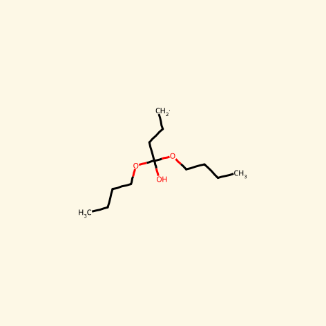 [CH2]CCC(O)(OCCCC)OCCCC